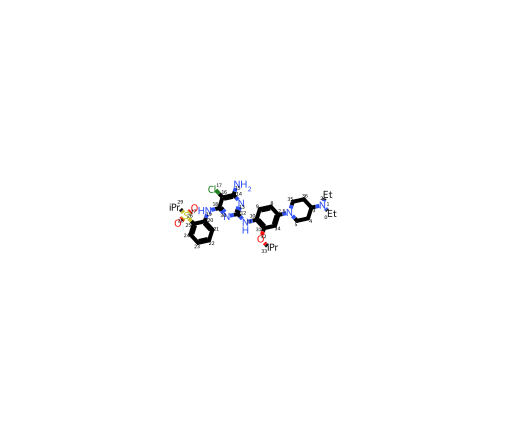 CCN(CC)C1CCN(c2ccc(Nc3nc(N)c(Cl)c(Nc4ccccc4S(=O)(=O)C(C)C)n3)c(OC(C)C)c2)CC1